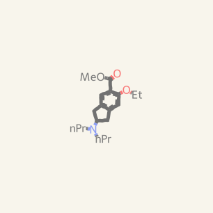 CCCN(CCC)C1Cc2cc(OCC)c(C(=O)OC)cc2C1